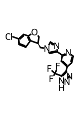 FC(F)(F)c1[nH]nnc1-c1ccnc(-c2cn(C[C@@H]3COc4cc(Cl)ccc43)cn2)c1